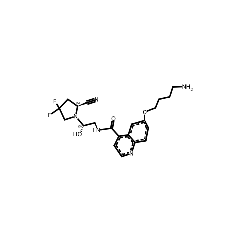 N#C[C@@H]1CC(F)(F)CN1[C@@H](O)CNC(=O)c1ccnc2ccc(OCCCCN)cc12